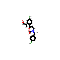 C[C@@H](c1ccc(Cl)cc1)N1CC[C@](CCC=O)(c2ccc(F)cc2)OC1=O